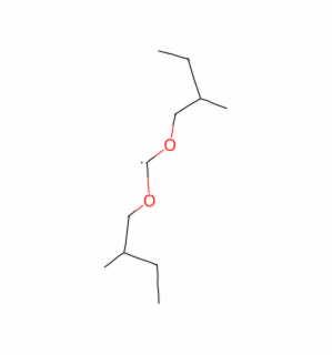 CCC(C)CO[CH]OCC(C)CC